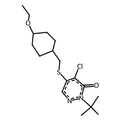 CCOC1CCC(CSc2cnn(C(C)(C)C)c(=O)c2Cl)CC1